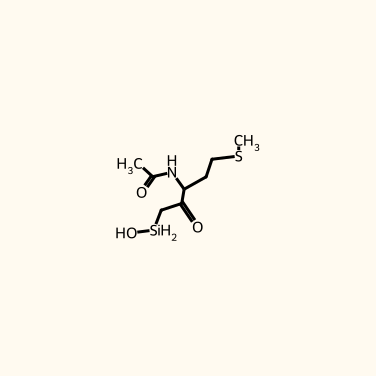 CSCCC(NC(C)=O)C(=O)C[SiH2]O